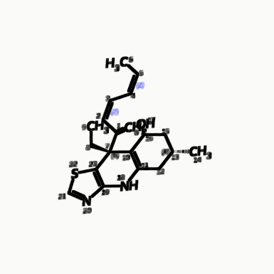 C=C(/C=C\C=C/C)[C@]1(CC)C2=C(C[C@@H](C)CC2O)Nc2ncsc21